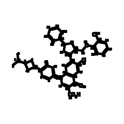 CN(C)C1CN(c2ccc(-n3cc(C(=O)O)c(=O)c4cc(Cl)c(N5CC(c6ncccn6)C[C@@H]5COc5ncccc5Cl)cc43)cn2)C1